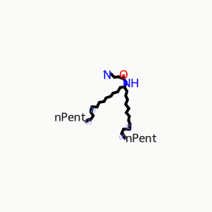 CCCCC/C=C\C/C=C\CCCCCCCCC(CCCCCCCC/C=C\C/C=C\CCCCC)NC1OC1CCN(C)C